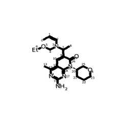 C/C=C\N(COCC)C(C)c1cc2c(C)nc(N)nc2n([C@H]2CCCOC2)c1=O